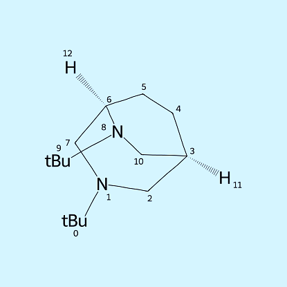 CC(C)(C)N1C[C@@H]2CC[C@H](C1)N(C(C)(C)C)C2